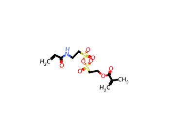 C=CC(=O)NCCS(=O)(=O)OS(=O)(=O)CCOC(=O)C(=C)C